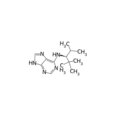 CC(C)[C@H](Nc1ncnc2[nH]cnc12)C(C)(C)C